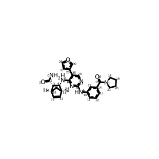 NC(=O)[C@@H]1[C@H](Nc2nc(Nc3cccc(C(=O)N4CCCC4)c3)ncc2-c2ccoc2)[C@H]2C=C[C@@H]1C2